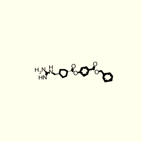 N=C(N)NC[C@H]1CC[C@H](C(=O)Oc2ccc(C(=O)OCc3ccccc3)cc2)CC1